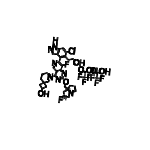 O=C(O)C(F)(F)F.O=C(O)C(F)(F)F.OCCc1c(Cl)cc2[nH]ncc2c1-c1ncc2c(N3CCCC4(CC(O)C4)C3)nc(OC[C@@]34CCCN3C[C@H](F)C4)nc2c1F